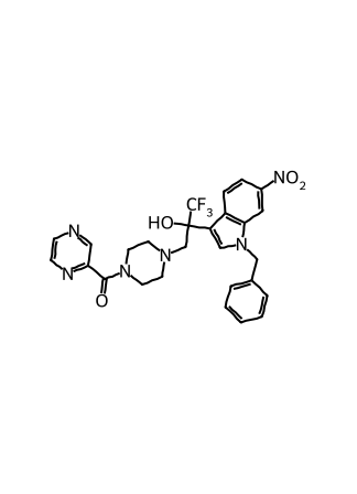 O=C(c1cnccn1)N1CCN(CC(O)(c2cn(Cc3ccccc3)c3cc([N+](=O)[O-])ccc23)C(F)(F)F)CC1